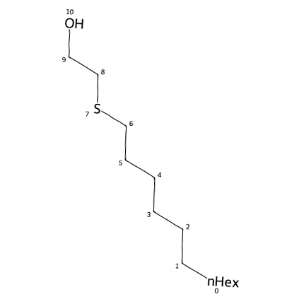 CCCCCCCCCCCCSCCO